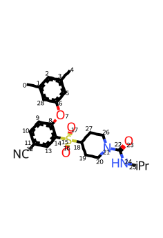 Cc1cc(C)cc(Oc2ccc(C#N)cc2S(=O)(=O)C2CCN(C(=O)NC(C)C)CC2)c1